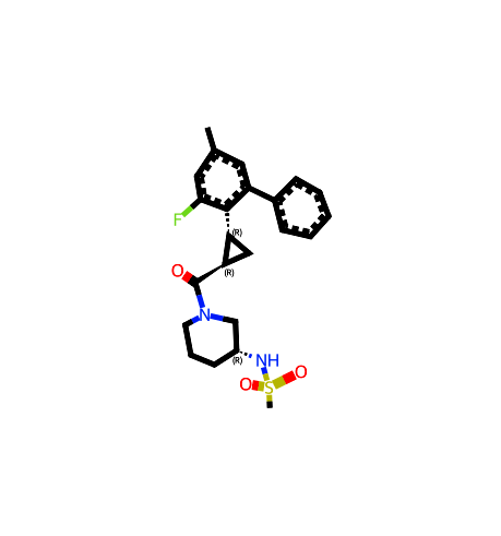 Cc1cc(F)c([C@@H]2C[C@H]2C(=O)N2CCC[C@@H](NS(C)(=O)=O)C2)c(-c2ccccc2)c1